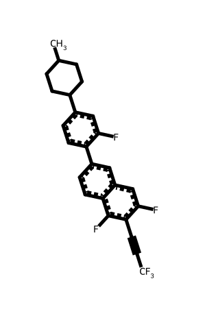 CC1CCC(c2ccc(-c3ccc4c(F)c(C#CC(F)(F)F)c(F)cc4c3)c(F)c2)CC1